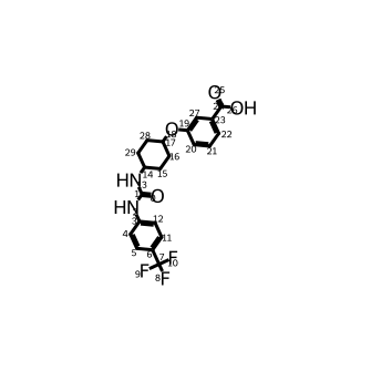 O=C(Nc1ccc(C(F)(F)F)cc1)NC1CCC(Oc2cccc(C(=O)O)c2)CC1